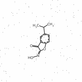 CC(C)c1ccc2c(c1)C(=O)C(=NO)O2